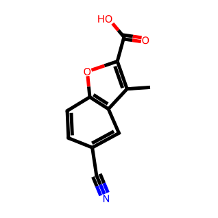 Cc1c(C(=O)O)oc2ccc(C#N)cc12